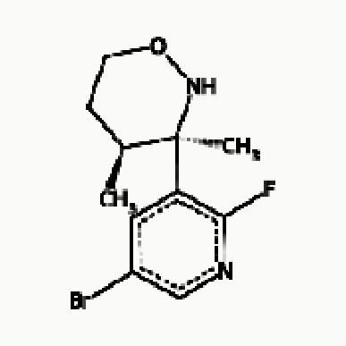 C[C@H]1CCON[C@@]1(C)c1cc(Br)cnc1F